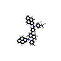 Cc1ccc(N(c2cc3ccc4cccc5ccc(c2)c3c45)c2ccc(-c3ccc(N(c4ccc([Si](C)(C)C)cc4)c4cc5ccc6cccc7ccc(c4)c5c67)cc3)c3ccccc23)cc1